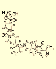 Cc1ncnc(C)c1C(=O)N1C=C2CN(CCC3(c4ccccc4)CCN(C(=O)c4ccc(S(=O)(=O)N(C)C)cc4)CC3)CC2C1